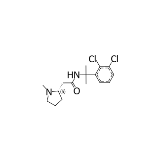 CN1CCC[C@H]1CC(=O)NC(C)(C)c1cccc(Cl)c1Cl